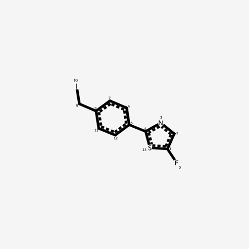 Fc1cnc(-c2ccc(CI)cc2)s1